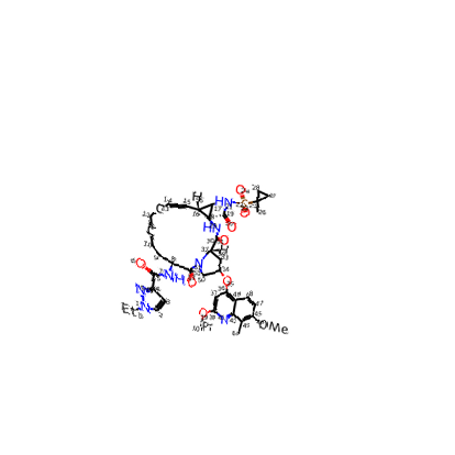 CCn1ccc(C(=O)N[C@H]2CCCCC/C=C\[C@@H]3C[C@@]3(C(=O)NS(=O)(=O)C3(C)CC3)NC(=O)[C@@H]3C[C@@H](Oc4cc(OC(C)C)nc5c(C)c(OC)ccc45)CN3C2=O)n1